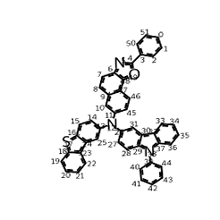 c1ccc(-c2nc3ccc4cc(N(c5ccc6sc7ccccc7c6c5)c5ccc6c(c5)c5ccccc5n6-c5ccccc5)ccc4c3o2)cc1